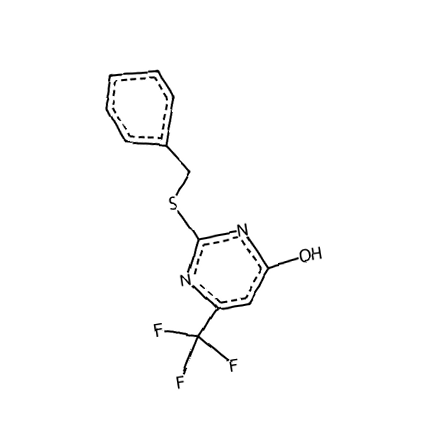 Oc1cc(C(F)(F)F)nc(SCc2ccccc2)n1